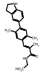 C/C(=C\c1cc(C)c(-c2ccc3c(c2)CCN3)cc1C)C(=O)NCC(=O)O